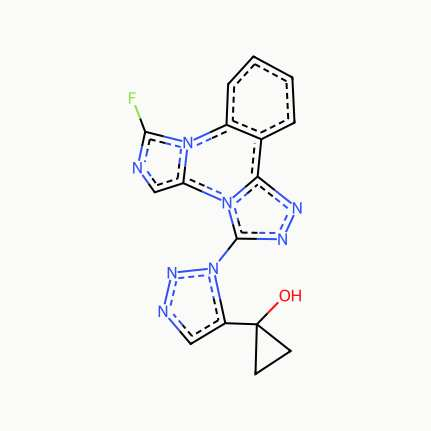 OC1(c2cnnn2-c2nnc3c4ccccc4n4c(F)ncc4n23)CC1